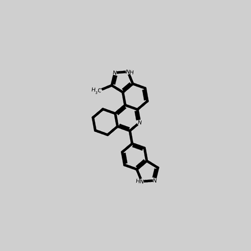 Cc1n[nH]c2ccc3nc(-c4ccc5[nH]ncc5c4)c4c(c3c12)CCCC4